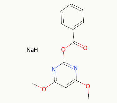 COc1cc(OC)nc(OC(=O)c2ccccc2)n1.[NaH]